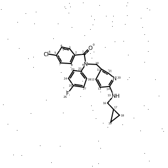 O=C(c1ccc(Cl)cc1)N(Cc1ccc(NCC2CC2)nc1)c1ccc(F)cc1